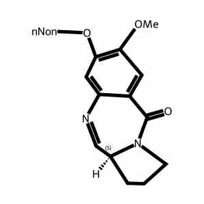 CCCCCCCCCOc1cc2c(cc1OC)C(=O)N1CCC[C@H]1C=N2